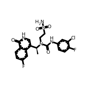 C[C@@H](c1c[nH]c(=O)c2ccc(F)cc12)N(CCS(N)(=O)=O)C(=O)Nc1ccc(F)c(Cl)c1